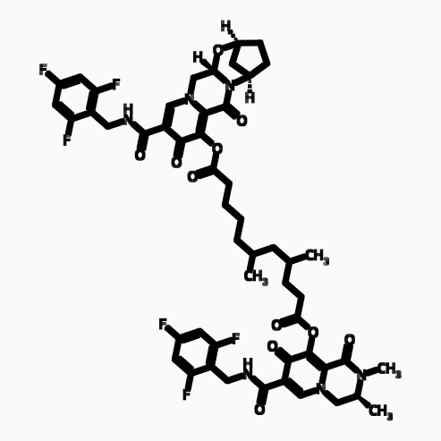 CC(CCCCC(=O)Oc1c2n(cc(C(=O)NCc3c(F)cc(F)cc3F)c1=O)C[C@@H]1O[C@H]3CC[C@H](C3)N1C2=O)CC(C)CCC(=O)Oc1c2n(cc(C(=O)NCc3c(F)cc(F)cc3F)c1=O)C[C@H](C)N(C)C2=O